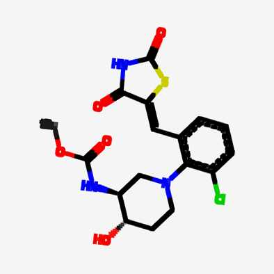 CC(C)(C)OC(=O)N[C@H]1CN(c2c(Cl)cccc2/C=C2\SC(=O)NC2=O)CC[C@@H]1O